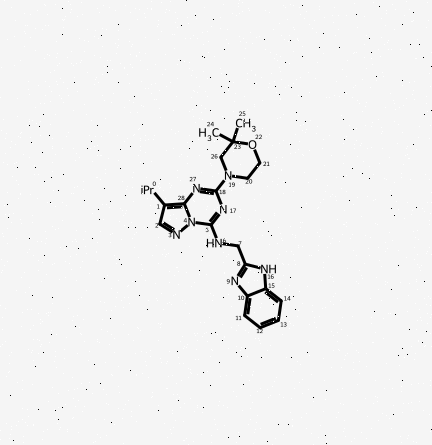 CC(C)c1cnn2c(NCc3nc4ccccc4[nH]3)nc(N3CCOC(C)(C)C3)nc12